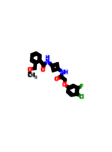 COCc1ccccc1C(=O)NC12CC(NC(=O)COc3ccc(Cl)c(F)c3)(C1)C2